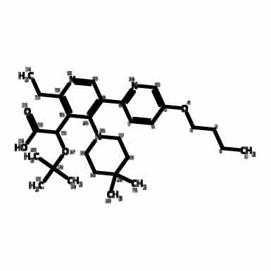 CCCCOc1ccc(-c2cnc(CC)c(C(OC(C)(C)C)C(=O)O)c2N2CCC(C)(C)CC2)nc1